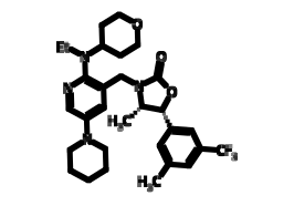 CCN(c1ncc(N2CCCCC2)cc1CN1C(=O)O[C@H](c2cc(C)cc(C(F)(F)F)c2)[C@@H]1C)C1CCOCC1